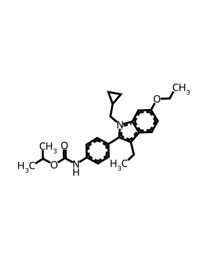 CCOc1ccc2c(CC)c(-c3ccc(NC(=O)OC(C)C)cc3)n(CC3CC3)c2c1